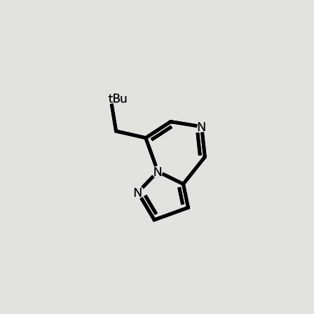 CC(C)(C)Cc1cncc2ccnn12